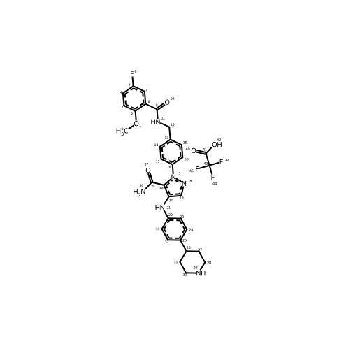 COc1ccc(F)cc1C(=O)NCc1ccc(-n2ncc(Nc3ccc(C4CCNCC4)cc3)c2C(N)=O)cc1.O=C(O)C(F)(F)F